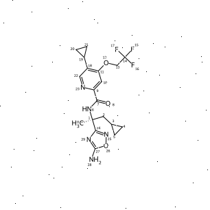 C[C@@](CC1CC1)(NC(=O)c1cc(OCC(F)(F)F)c(C2CC2)cn1)c1noc(N)n1